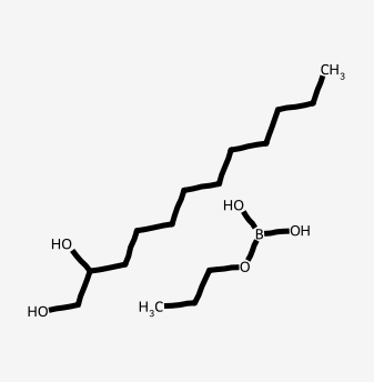 CCCCCCCCCCC(O)CO.CCCOB(O)O